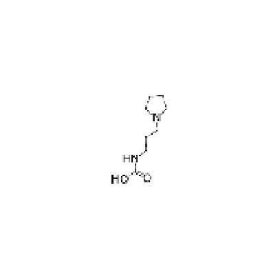 O=C(O)NCCCN1CCCC1